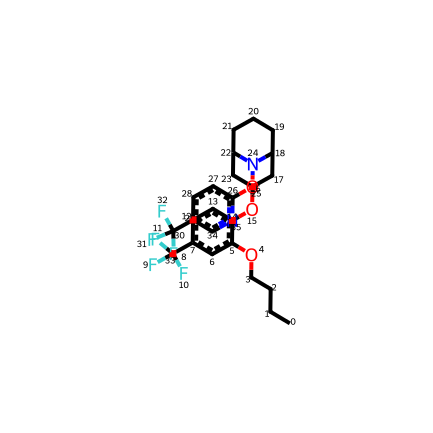 CCCCOc1cc(C(F)(F)F)ccc1OC1CC2CCCC(C1)N2Oc1ccc(C(F)(F)F)cn1